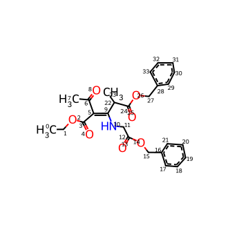 CCOC(=O)/C(C(C)=O)=C(\NCC(=O)OCc1ccccc1)C(C)C(=O)OCc1ccccc1